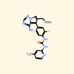 COCc1cn2ncnc(N)c2c1-c1ccc(NC(=O)Nc2cc(C(F)(F)F)ccn2)c(F)c1